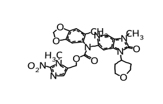 Cc1cc2c(cc1N(C(=O)OCc1cnc([N+](=O)[O-])n1C)c1cc3c(cn1)n(C)c(=O)n3C1CCOCC1)OCO2